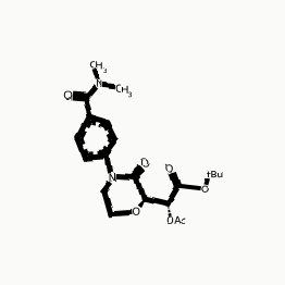 CC(=O)O[C@@H](C(=O)OC(C)(C)C)[C@H]1OCCN(c2ccc(C(=O)N(C)C)cc2)C1=O